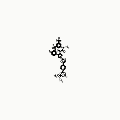 CN(C(=O)N(C)[C@@H]1CN(c2nnc(C3CCN(C(=O)OC(C)(C)C)CC3)o2)C[C@H]1c1ccc(F)cc1)c1cc(C(F)(F)F)cc(C(F)(F)F)c1